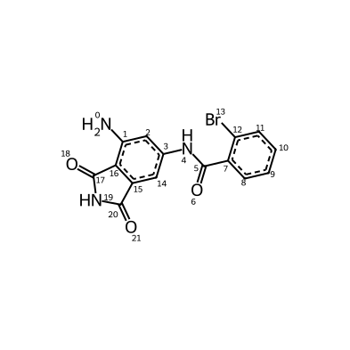 Nc1cc(NC(=O)c2ccccc2Br)cc2c1C(=O)NC2=O